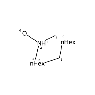 CCCCCCCCCCCCC.C[NH+](C)[O-]